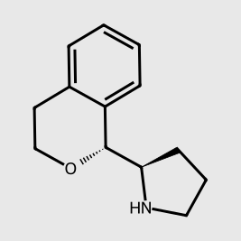 c1ccc2c(c1)CCO[C@H]2[C@H]1CCCN1